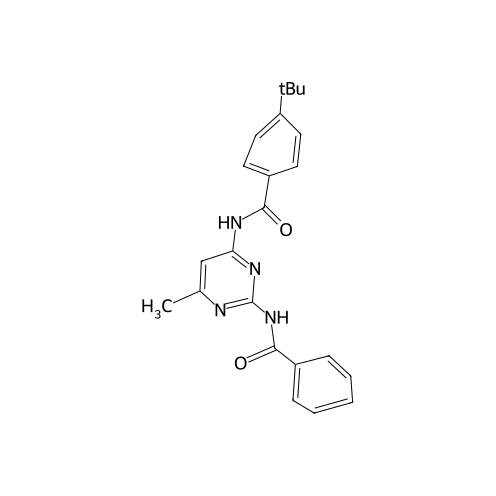 Cc1cc(NC(=O)c2ccc(C(C)(C)C)cc2)nc(NC(=O)c2ccccc2)n1